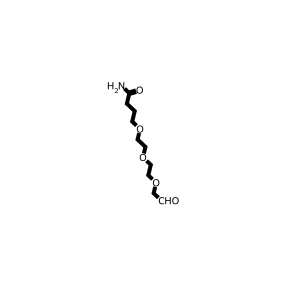 NC(=O)CCCOCCOCCOCC=O